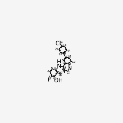 Oc1c(F)ccc(Nc2ncnc3ccc(-c4ccc(Cl)cc4)cc23)c1F